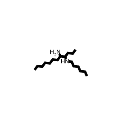 CCCCCCCC(N)C(CCC)NCCCCCC